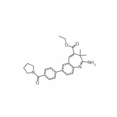 CCOC(=O)C1=Cc2cc(-c3ccc(C(=O)N4CCCC4)cc3)ccc2N=C(N)C1(C)C